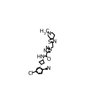 CN1CCc2nc(Cn3cc(C(=O)N[C@H]4C[C@@H](c5cc(Cl)ccc5C#N)C4)nn3)sc2C1